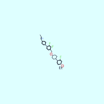 C/C=C/c1ccc(-c2ccc(COC3CCC(c4ccc(OCC)cc4F)CC3)c(F)c2F)cc1